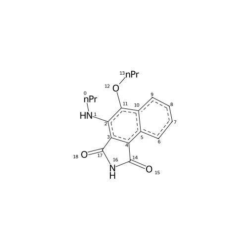 CCCNc1c2c(c3ccccc3c1OCCC)C(=O)NC2=O